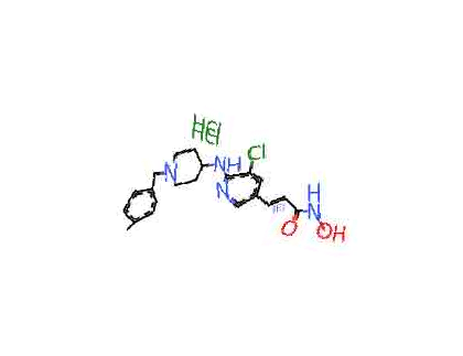 Cc1ccc(CN2CCC(Nc3ncc(/C=C/C(=O)NO)cc3Cl)CC2)cc1.Cl.Cl